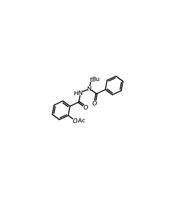 CC(=O)Oc1ccccc1C(=O)NN(C(=O)c1ccccc1)C(C)(C)C